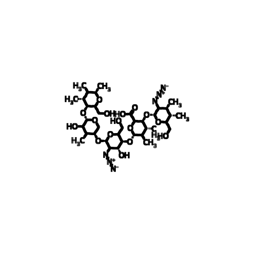 CC1[C@H](O[C@@H]2C(CO)O[C@H](O[C@@H]3CO[C@@H](O[C@@H]4C(CO)O[C@H](C)C(C)[C@H]4C)C(O)C3C)C(N=[N+]=[N-])[C@H]2O)OC(C(=O)O)[C@@H](O[C@H]2OC(CO)[C@@H](C)[C@H](C)C2N=[N+]=[N-])[C@@H]1C